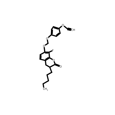 C#COc1ccc(OCOc2ccc3c(c2F)OC(=O)C(CCCCC)C3)cc1